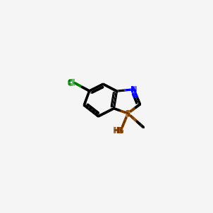 CS1(S)C=Nc2cc(Cl)ccc21